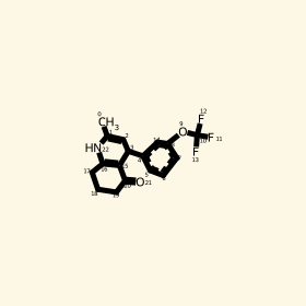 CC1=CC(c2cccc(OC(F)(F)F)c2)C2=C(CCCC2=O)N1